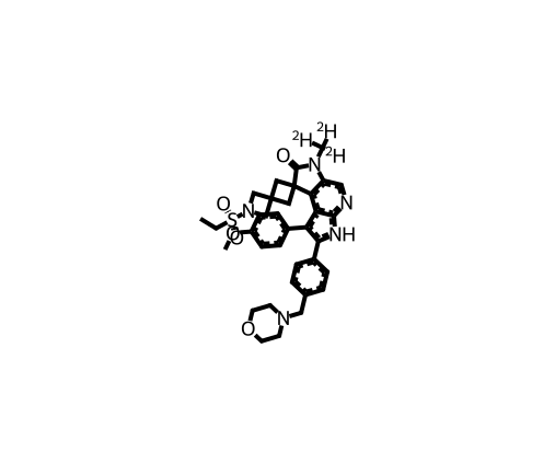 [2H]C([2H])([2H])N1C(=O)C2(CC3(CN(S(=O)(=O)CC)C3)C2)c2c1cnc1[nH]c(-c3ccc(CN4CCOCC4)cc3)c(-c3ccc(OC)cc3)c21